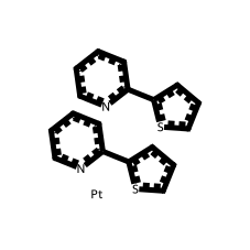 [Pt].c1ccc(-c2cccs2)nc1.c1ccc(-c2cccs2)nc1